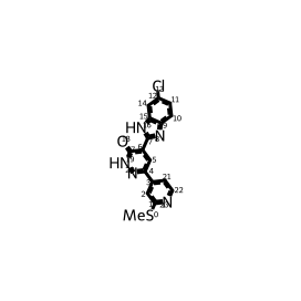 CSc1cc(-c2cc(-c3nc4ccc(Cl)cc4[nH]3)c(=O)[nH]n2)ccn1